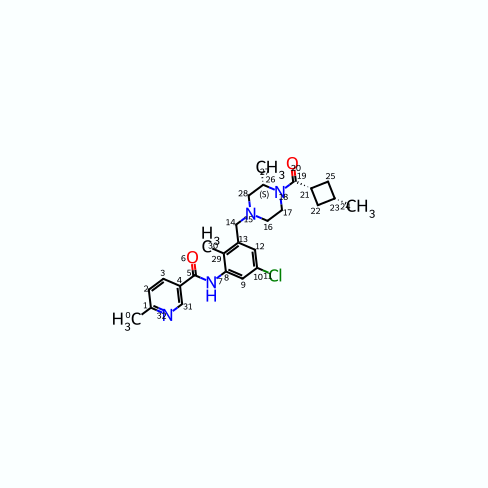 Cc1ccc(C(=O)Nc2cc(Cl)cc(CN3CCN(C(=O)[C@H]4C[C@@H](C)C4)[C@@H](C)C3)c2C)cn1